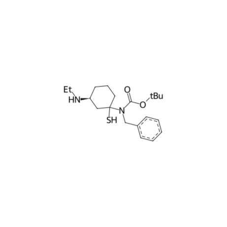 CCN[C@H]1CCCC(S)(N(Cc2ccccc2)C(=O)OC(C)(C)C)C1